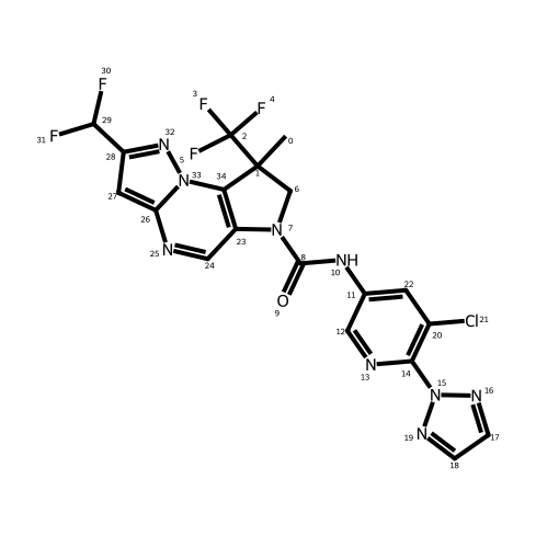 CC1(C(F)(F)F)CN(C(=O)Nc2cnc(-n3nccn3)c(Cl)c2)c2cnc3cc(C(F)F)nn3c21